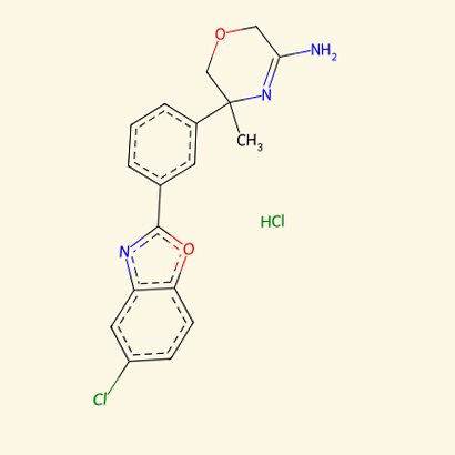 CC1(c2cccc(-c3nc4cc(Cl)ccc4o3)c2)COCC(N)=N1.Cl